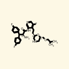 CC(C)COC[C@@H]1CNC[C@@H](CCc2c(F)cncc2NC(=O)[C@@H](N)C(c2ccc(F)cc2)c2ccc(F)cc2)O1